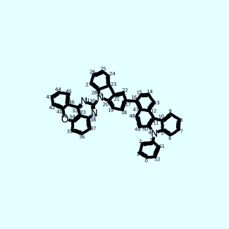 c1ccc(-n2c3ccccc3c3c4cccc(-c5ccc6c(c5)c5ccccc5n6-c5nc6c7c(cccc7n5)Oc5ccccc5-6)c4ccc32)cc1